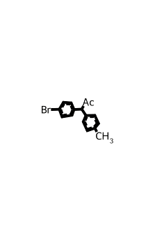 CC(=O)C(c1ccc(C)cc1)c1ccc(Br)cc1